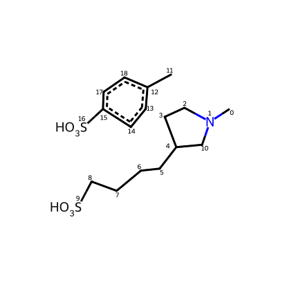 CN1CCC(CCCCS(=O)(=O)O)C1.Cc1ccc(S(=O)(=O)O)cc1